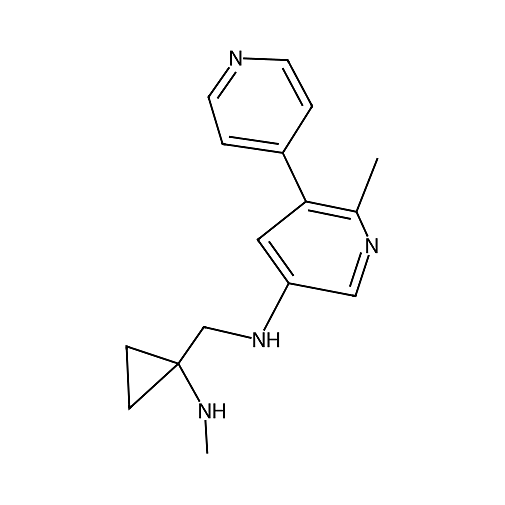 CNC1(CNc2cnc(C)c(-c3ccncc3)c2)CC1